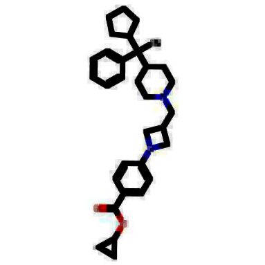 N#CC(c1ccccc1)(C1CCCC1)C1CCN(CC2CN(c3ccc(C(=O)OC4CC4)cc3)C2)CC1